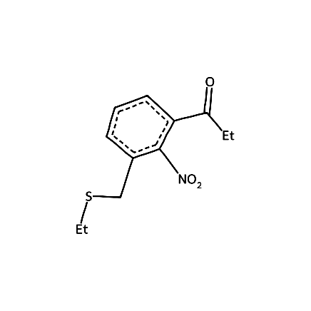 CCSCc1cccc(C(=O)CC)c1[N+](=O)[O-]